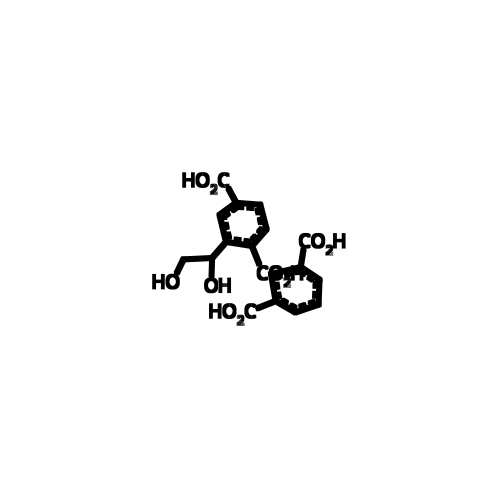 O=C(O)c1ccc(C(=O)O)c(C(O)CO)c1.O=C(O)c1cccc(C(=O)O)c1